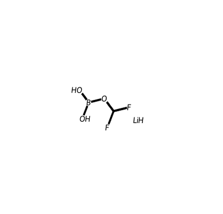 OB(O)OC(F)F.[LiH]